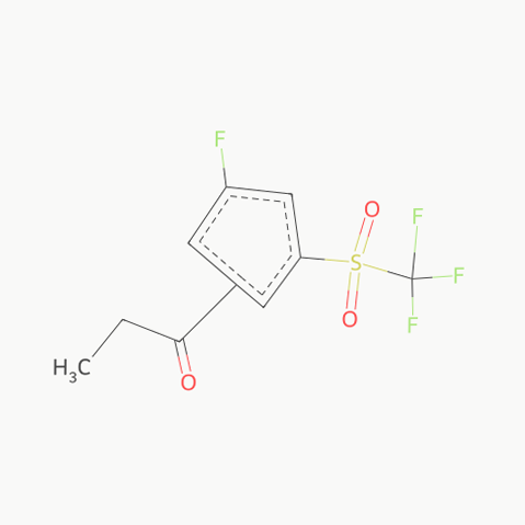 CCC(=O)c1cc(F)cc(S(=O)(=O)C(F)(F)F)c1